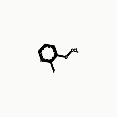 Fc1ncccc1OC(Cl)(Cl)Cl